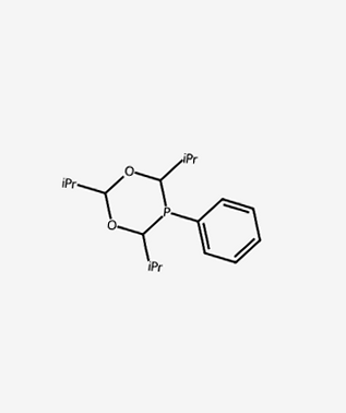 CC(C)C1OC(C(C)C)P(c2ccccc2)C(C(C)C)O1